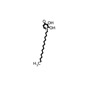 CCCCCCCCCCCCCCCCn1ccc(=O)c(O)c1O